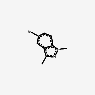 Cc1nn(C)c2ccc(Br)cc12